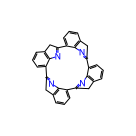 c1cc2c3c(c1)C1=Nc4c(cccc4C4=Nc5c(cccc5C5=Nc6c(cccc6C(=N3)C2)C5)C4)C1